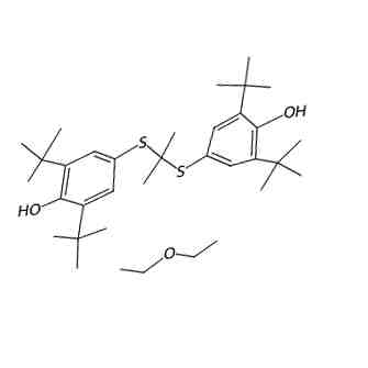 CC(C)(Sc1cc(C(C)(C)C)c(O)c(C(C)(C)C)c1)Sc1cc(C(C)(C)C)c(O)c(C(C)(C)C)c1.CCOCC